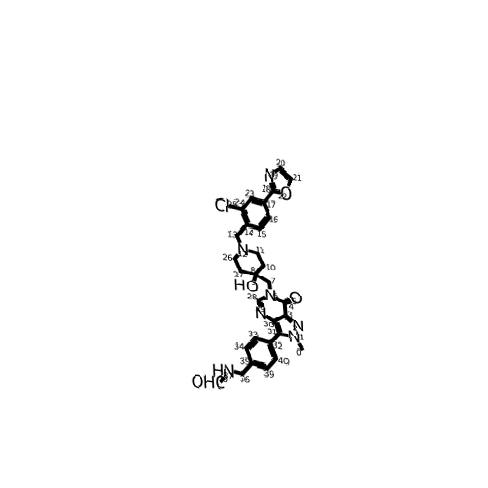 Cn1nc2c(=O)n(CC3(O)CCN(Cc4ccc(-c5ncco5)cc4Cl)CC3)cnc2c1-c1ccc(CNC=O)cc1